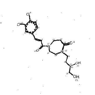 O=C(C=Cc1ccc(Cl)c(Cl)c1)N1CCC(=O)N(CC[C@@H](O)CO)CC1